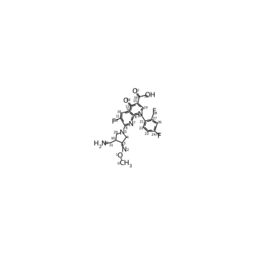 CON=C1CN(c2nc3c(cc2F)c(=O)c(C(=O)O)cn3-c2ccc(F)cc2F)CC1CN